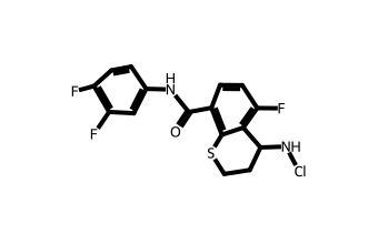 O=C(Nc1ccc(F)c(F)c1)c1ccc(F)c2c1SCCC2NCl